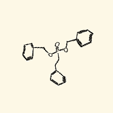 O=P(CCc1ccccc1)(OCc1ccccc1)OCc1ccccc1